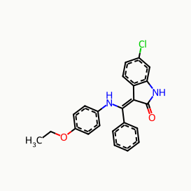 CCOc1ccc(NC(=C2C(=O)Nc3cc(Cl)ccc32)c2ccccc2)cc1